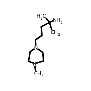 CN1CCN(CCCC(C)(C)N)CC1